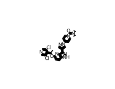 C[C@@H](Oc1ccc2[nH]nc(-c3cnn(C4CCN(C(=O)N(C)C)CC4)c3)c2n1)c1c(Cl)cncc1Cl